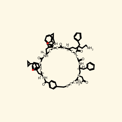 NCCCCC[C@H]1CN(C(=O)CCc2ccccc2)CC(=O)N[C@@H](Cc2ccccc2)CN(CC(N)=O)C(=O)CCSCc2ccc(cc2)C(=O)N[C@@H](Cc2ccccc2)CN(C(=O)CC2CC2)CC(=O)N[C@@H](Cc2c[nH]c3ccccc23)CN(C(=O)CC2CC2)CC(=O)N1